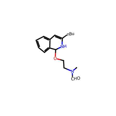 CCCCC1=Cc2ccccc2C(OCCN(C)C=O)N1